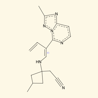 C=C/C(=C\NC1(CC#N)CC(C)C1)c1nccc2nc(C)nn12